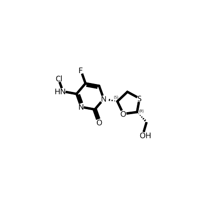 O=c1nc(NCl)c(F)cn1[C@@H]1CS[C@H](CO)O1